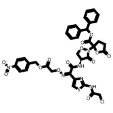 O=C(CCl)Nc1nc(C(=NOCC(=O)OCc2ccc([N+](=O)[O-])cc2)C(=O)N[C@H]2CON(C3(C(=O)OC(c4ccccc4)c4ccccc4)CCC(=O)O3)C2=O)cs1